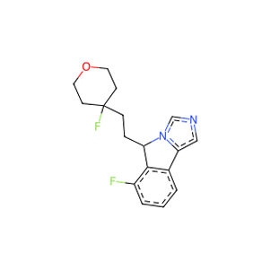 Fc1cccc2c1C(CCC1(F)CCOCC1)n1cncc1-2